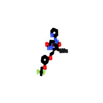 CSCC(=O)N/C1=C\C(=O)N[C@@H](CCOc2cccc(OCC(C)(F)F)c2)C/C(C)=N/N1c1ccccn1